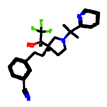 CC(C)(c1ccccn1)N1CC[C@@](CCc2cccc(C#N)c2)([C@H](O)C(F)(F)F)C1